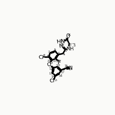 C[C@@H]1NC(Cc2ccc(Cl)c(Oc3cc(Cl)cc(C#N)c3)c2F)=NNC1=O